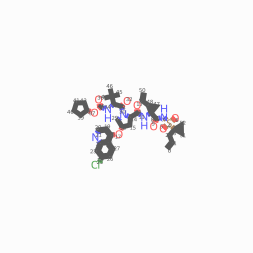 C=CCC1(S(=O)(=O)NC(=O)C2(NC(=O)C3CC(Oc4ccnc5cc(Cl)ccc45)CN3C(=O)C(NC(=O)OC3CCCC3)C(C)(C)C)CC2C=C)CC1